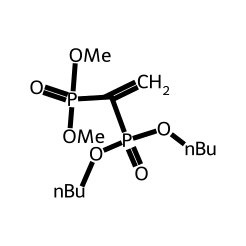 C=C(P(=O)(OC)OC)P(=O)(OCCCC)OCCCC